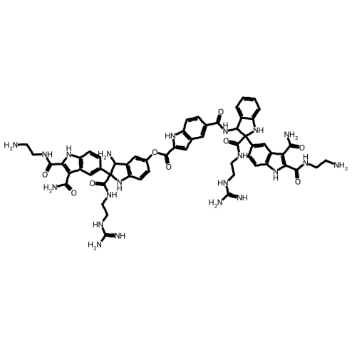 N=C(N)NCCNC(=O)C1(c2ccc3[nH]c(C(=O)NCCN)c(C(N)=O)c3c2)Nc2ccc(OC(=O)c3cc4cc(C(=O)NC5c6ccccc6NC5(C(=O)NCCNC(=N)N)c5ccc6[nH]c(C(=O)NCCN)c(C(N)=O)c6c5)ccc4[nH]3)cc2C1N